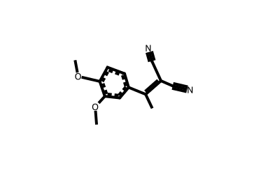 COc1ccc(C(C)=C(C#N)C#N)cc1OC